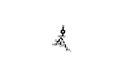 C#CC[C@@H](C[C@@H](COCOCCOC)NC(=O)c1ccc(C#N)cc1)C(=O)NO